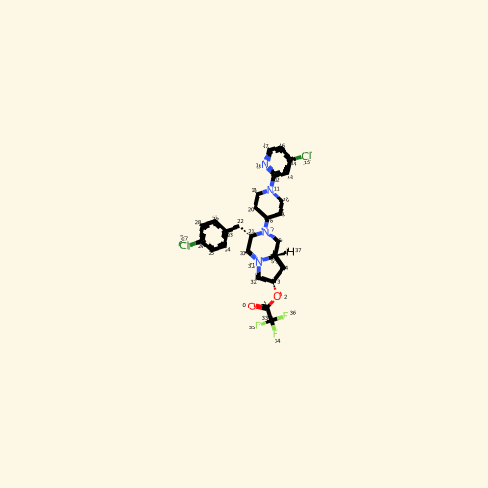 O=C(O[C@H]1C[C@H]2CN(C3CCN(c4cc(Cl)ccn4)CC3)[C@@H](Cc3ccc(Cl)cc3)CN2C1)C(F)(F)F